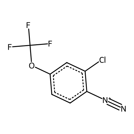 N#[N+]c1ccc(OC(F)(F)F)cc1Cl